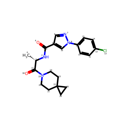 C[C@H](NC(=O)c1cnn(-c2ccc(Cl)cc2)c1)C(=O)N1CCC2(CC1)CC2